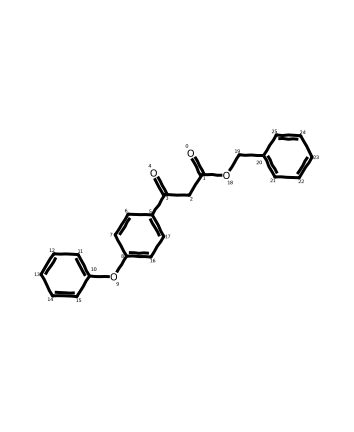 O=C(CC(=O)c1ccc(Oc2ccccc2)cc1)OCc1ccccc1